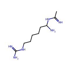 CC(=N)NC(N)CCCCCNC(=N)N